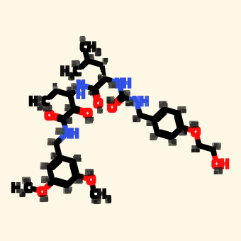 CCC(NC(=O)[C@H](CC(C)C)NC(=O)NCc1ccc(OCCO)cc1)C(=O)C(=O)NCc1cc(OC)cc(OC)c1